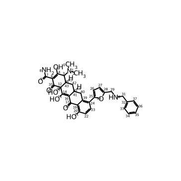 CN(C)C1C(O)=C(C(N)=O)C(=O)[C@@]2(O)C(O)=C3C(=O)c4c(O)ccc(-c5ccc(CNCc6ccccc6)o5)c4C[C@@H]3C[C@H]12